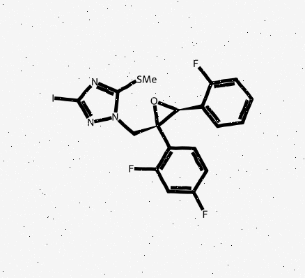 CSc1nc(I)nn1C[C@@]1(c2ccc(F)cc2F)O[C@H]1c1ccccc1F